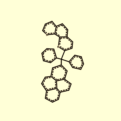 c1ccc(C(c2ccccc2)(c2cc3ccc4cccc5ccc(c2)c3c45)c2ccc3ccc4cccnc4c3n2)cc1